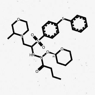 CCCC(=O)N(NC(CN1CCOCC1C)S(=O)(=O)c1ccc(Sc2ccccc2)cc1)O[C@@H]1CCCCO1